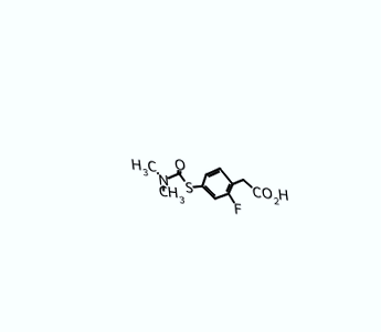 CN(C)C(=O)Sc1ccc(CC(=O)O)c(F)c1